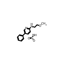 COCCNc1ccc(-c2ccccc2)cn1.N=S(=O)=O